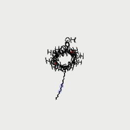 CCCCC/C=C/C/C=C/CCCCCCCC(=O)N[C@H]1C[C@@H](O)[C@@H](O)NC(=O)C2[C@@H](O)[C@@H](C)CN2C(=O)[C@H]([C@@H](C)O)NC(=O)[C@H]([C@H](O)[C@@H](O)c2ccc(O)cc2)NC(=O)[C@@H]2C[C@@H](O)CN2C(=O)[C@H]([C@@H](C)O)NC1=O